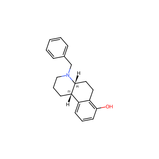 Oc1cccc2c1CC[C@@H]1[C@H]2CCCN1Cc1ccccc1